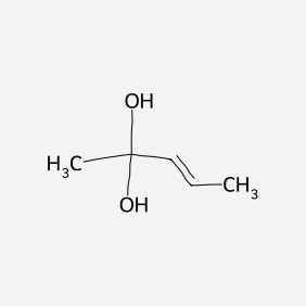 CC=CC(C)(O)O